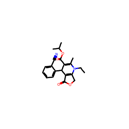 CCN1C(C)=C(C(=O)OC(C)C)C(c2ccccc2C#N)C2=C1COC2=O